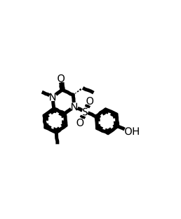 CC[C@H]1C(=O)N(C)c2ccc(C)cc2N1S(=O)(=O)c1ccc(O)cc1